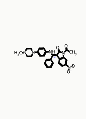 CC(=O)N1C(=O)/C(=C(\Nc2ccc(N3CCN(C)CC3)cc2)c2ccccc2)c2ccc([N+](=O)[O-])cc21